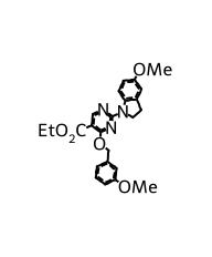 CCOC(=O)c1cnc(N2CCc3cc(OC)ccc32)nc1OCc1cccc(OC)c1